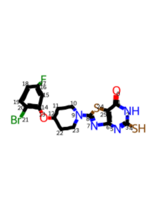 O=c1[nH]c(S)nc2nc(N3CCC(Oc4cc(F)ccc4Br)CC3)sc12